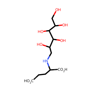 O=C(O)CCC(NCC(O)C(O)C(O)C(O)CO)C(=O)O